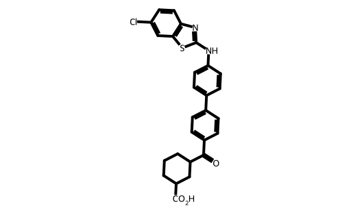 O=C(O)C1CCCC(C(=O)c2ccc(-c3ccc(Nc4nc5ccc(Cl)cc5s4)cc3)cc2)C1